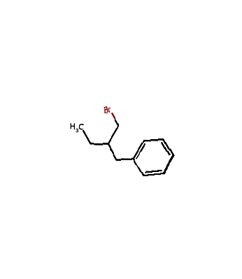 CCC(CBr)Cc1ccccc1